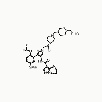 CSc1ccc(OC(F)F)c(-c2nn(CC(=O)N3CCN(CC4CCN(CC=O)CC4)CC3)cc2NC(=O)c2cnn3cccnc23)c1